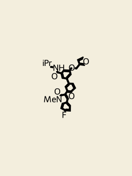 CNC(=O)c1c(-c2ccc(F)cc2)oc2ccc(-c3cc(OCc4ccoc4)cc(C(=O)NCC(C)C)c3)cc12